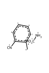 NC(=O)O.[C-]#[N+]c1ccccc1C